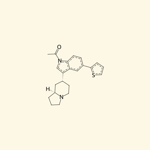 CC(=O)n1cc([C@@H]2CCN3CCC[C@H]3C2)c2cc(-c3cccs3)ccc21